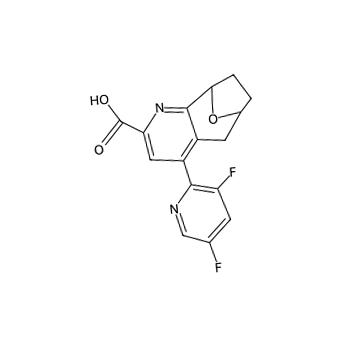 O=C(O)c1cc(-c2ncc(F)cc2F)c2c(n1)C1CCC(C2)O1